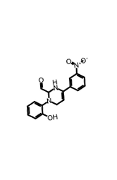 O=CC1NC(c2cccc([N+](=O)[O-])c2)=CCN1c1ccccc1O